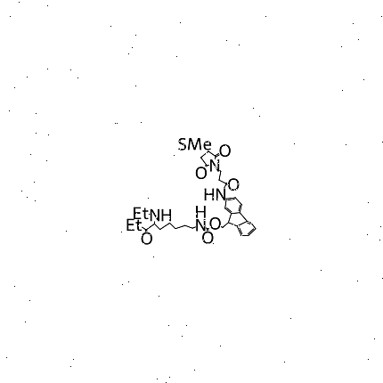 CCNC(CCCCCNC(=O)OCC1c2ccccc2-c2ccc(NC(=O)CCN3C(=O)CC(SC)C3=O)cc21)C(=O)CC